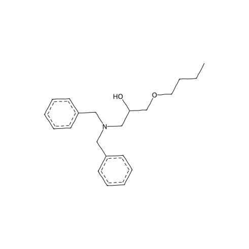 CCCCOCC(O)CN(Cc1ccccc1)Cc1ccccc1